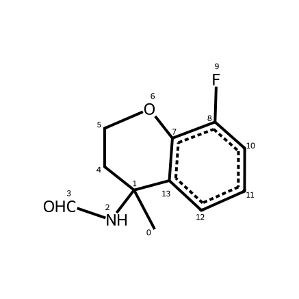 CC1(NC=O)CCOc2c(F)cccc21